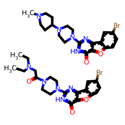 CCN(CC)CC(=O)N1CCN(c2nc3c(oc4ccc(Br)cc43)c(=O)[nH]2)CC1.CN1CCC(N2CCN(c3nc4c(oc5ccc(Br)cc54)c(=O)[nH]3)CC2)CC1